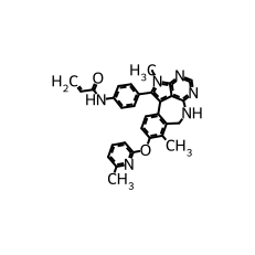 C=CC(=O)Nc1ccc(-c2c3c4c(ncnc4n2C)NCc2c-3ccc(Oc3cccc(C)n3)c2C)cc1